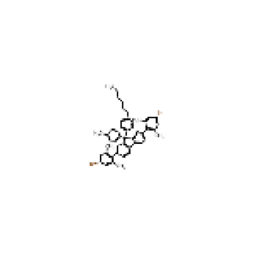 CCCCCCc1ccc(C2(c3ccc(C)cc3)c3cc(-c4c(C)cc(Br)cc4C)ccc3-c3ccc(-c4c(C)cc(Br)cc4C)cc32)cc1